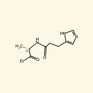 CCC(=O)[C@H](C)NC(=O)CCc1cnc[nH]1